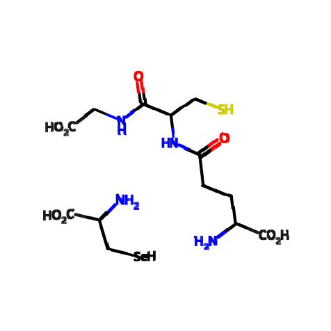 NC(CCC(=O)NC(CS)C(=O)NCC(=O)O)C(=O)O.NC(C[SeH])C(=O)O